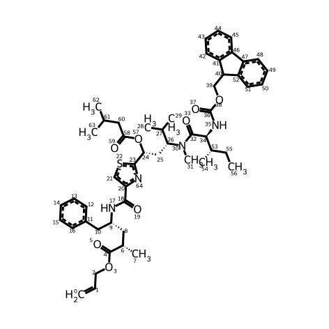 C=CCOC(=O)[C@@H](C)C[C@H](Cc1ccccc1)NC(=O)c1csc([C@@H](C[C@H](C(C)C)N(C)C(=O)[C@@H](NC(=O)OCC2c3ccccc3-c3ccccc32)[C@@H](C)CC)OC(=O)CC(C)C)n1